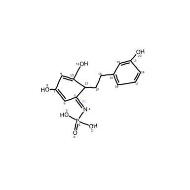 O=P(O)(O)/N=C1\C=C(O)C=C(O)C1CCc1cccc(O)c1